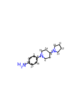 Nc1ccc(N2CCC(N3CCCC3)CC2)cc1